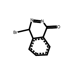 O=C1N=NC(Br)c2ccccc21